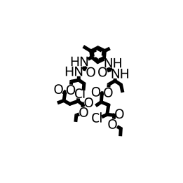 CCOC(=O)C(Cl)CC(C)C(=O)OCC(CC)NC(=O)Nc1cc(NC(=O)NC(CC)COC(=O)C(C)CC(Cl)C(=O)OCC)c(C)cc1C